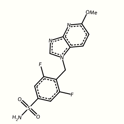 COc1ccc2c(ncn2Cc2c(F)cc(S(N)(=O)=O)cc2F)n1